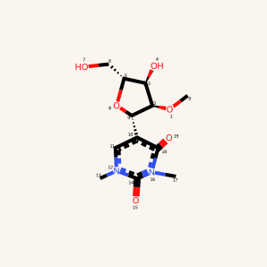 CO[C@@H]1[C@H](O)[C@@H](CO)O[C@H]1c1cn(C)c(=O)n(C)c1=O